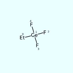 C[CH2][Ge]([F])([F])[F]